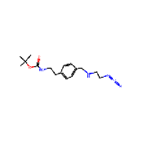 CC(C)(C)OC(=O)NCCc1ccc(CNCCN=[N+]=[N-])cc1